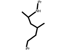 CC(C)CCC(C)CC(C)NC(C)C